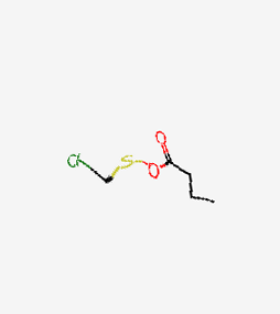 CCCC(=O)OSCCl